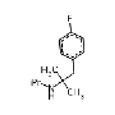 CC(C)NC(C)(C)Cc1ccc(F)cc1